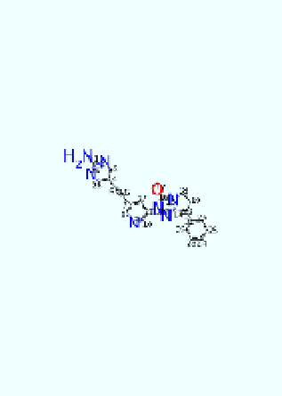 Nc1ncc(C#Cc2cncc(-n3nc4n(c3=O)CCC4c3ccccc3)c2)cn1